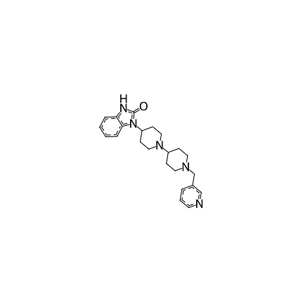 O=c1[nH]c2ccccc2n1C1CCN(C2CCN(Cc3cccnc3)CC2)CC1